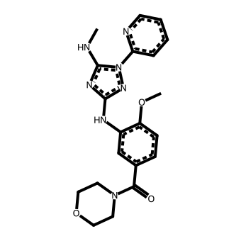 CNc1nc(Nc2cc(C(=O)N3CCOCC3)ccc2OC)nn1-c1ccccn1